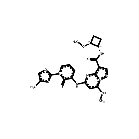 CNc1cc(Nc2cccn(-c3nc(C)co3)c2=O)nc2c(C(=O)N[C@H]3CC[C@@H]3OC)cnn12